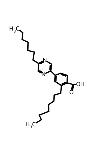 CCCCCCCCc1cc(-c2cnc(CCCCCCC)cn2)ccc1C(=O)O